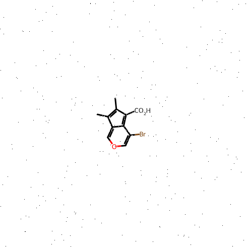 Cc1c2cocc(Br)c-2c(C(=O)O)c1C